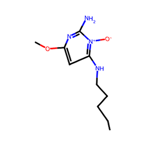 CCCCCNc1cc(OC)nc(N)[n+]1[O-]